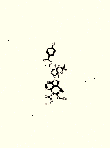 C#Cc1cn([C@@H]2S[C@H](COC(=O)c3ccc(Cl)cc3)[C@H]3OC(C)(C)O[C@H]32)c2ncnc(N(C(=O)OC(C)(C)C)C(=O)OC(C)(C)C)c12